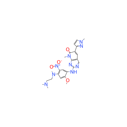 COc1cc(N(C)CCN(C)C)c([N+](=O)[O-])cc1Nc1ncc2cc(-c3ccn(C)n3)c(=O)n(C)c2n1